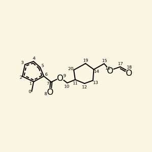 Cc1ccccc1C(=O)OCC1CCC(COC=O)CC1